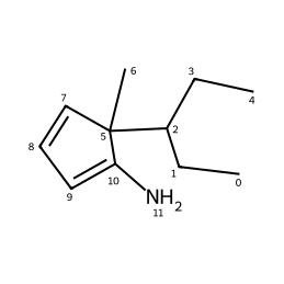 CCC(CC)C1(C)C=CC=C1N